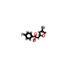 O=S(=O)(CC1CC(Br)CO1)c1ccc(F)cc1